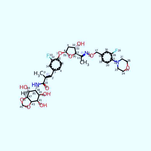 C/C(=C\c1ccc(O[C@H]2C[C@H](O)[C@@H](/C(C)=N/OCc3ccc(N4CCOCC4)c(F)c3)O2)c(F)c1)C(=O)N[C@@H]1C(O)C(O)C2OCO[C@H]2[C@@H]1O